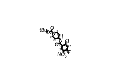 CC(C)(C)OC(=O)N1CCC(NC(=O)c2cc([N+](=O)[O-])c(F)cc2Cl)CC1